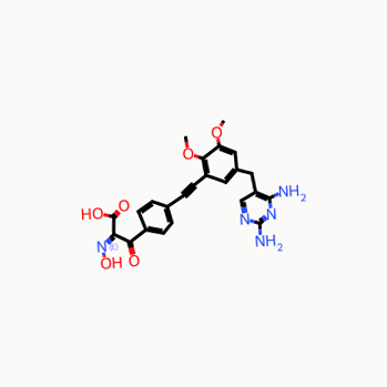 COc1cc(Cc2cnc(N)nc2N)cc(C#Cc2ccc(C(=O)/C(=N\O)C(=O)O)cc2)c1OC